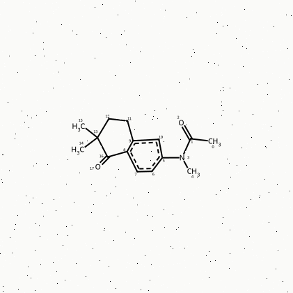 CC(=O)N(C)c1ccc2c(c1)CCC(C)(C)C2=O